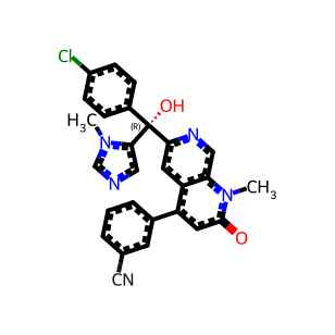 Cn1cncc1[C@@](O)(c1ccc(Cl)cc1)c1cc2c(-c3cccc(C#N)c3)cc(=O)n(C)c2cn1